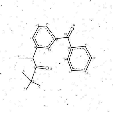 CC(C(=O)C(C)(C)C)c1cccc(C(=O)c2ccccc2)c1